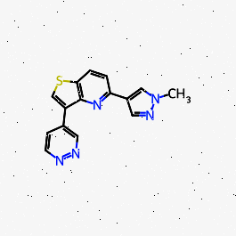 Cn1cc(-c2ccc3scc(-c4ccnnc4)c3n2)cn1